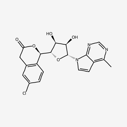 Cc1ncnc2c1ccn2[C@@H]1O[C@H]([C@@H]2OC(=O)Cc3cc(Cl)ccc32)[C@@H](O)[C@H]1O